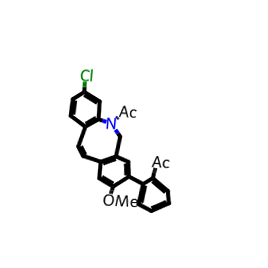 COc1cc2c(cc1-c1ccccc1C(C)=O)CN(C(C)=O)c1cc(Cl)ccc1C=C2